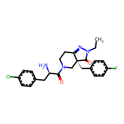 CCN1N=C2CCN(C(=O)[C@H](N)Cc3ccc(Cl)cc3)C[C@]2(Cc2ccc(F)cc2)C1=O